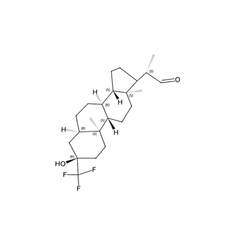 C[C@H](C=O)C1CC[C@H]2[C@@H]3CC[C@@H]4C[C@@](O)(C(F)(F)F)CC[C@]4(C)[C@H]3CC[C@]12C